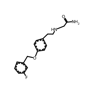 NC(=O)CNCCc1ccc(OCc2cccc(F)c2)cc1